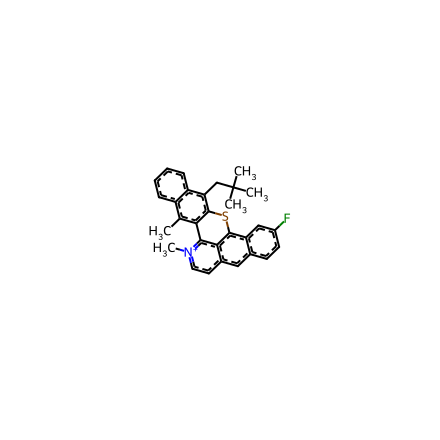 Cc1c2c(c(CC(C)(C)C)c3ccccc13)Sc1c3cc(F)ccc3cc3cc[n+](C)c-2c13